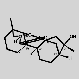 CC12CCC[C@]3(C(=O)OC1)[C@@H]2CC[C@@]12C[C@@H](CC[C@H]13)[C@@](C)(O)C2